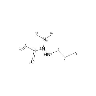 C=CC(=O)N(NCCC)N(C)C